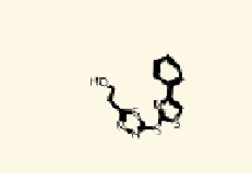 OCCc1nnc(Sc2nc(-c3ccccc3)cs2)s1